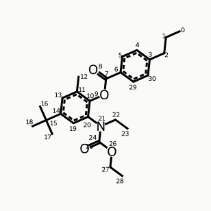 CCCc1ccc(C(=O)Oc2c(C)cc(C(C)(C)C)cc2N(CC)C(=O)OCC)cc1